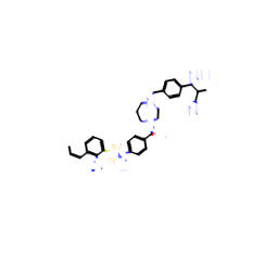 C=Nc1c(/C=C\C)cccc1S(=O)(=O)Nc1ccc(C(=O)N2CCCN(Cc3ccc(C(N)C(C)C#N)cc3)CC2)cc1